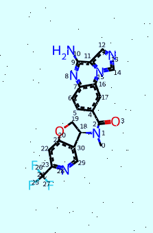 CN(C(=O)c1ccc2nc(N)c3cncn3c2c1)[C@@H]1COc2cc(C(F)(F)F)ncc21